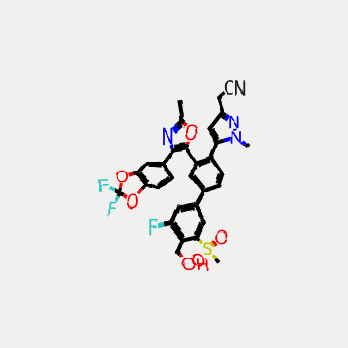 Cc1nc(-c2ccc3c(c2)OC(F)(F)O3)c(-c2cc(-c3cc(F)c(CO)c(S(C)(=O)=O)c3)ccc2-c2cc(CC#N)nn2C)o1